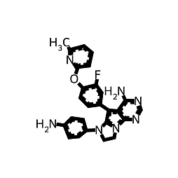 Cc1cccc(Oc2ccc(-c3c4n(c5ncnc(N)c35)CCN4c3ccc(N)cc3)cc2F)n1